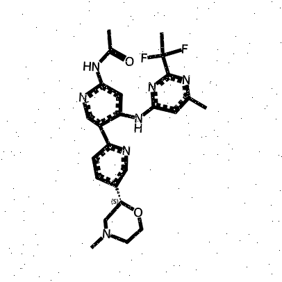 CC(=O)Nc1cc(Nc2cc(C)nc(C(C)(F)F)n2)c(-c2ccc([C@H]3CN(C)CCO3)cn2)cn1